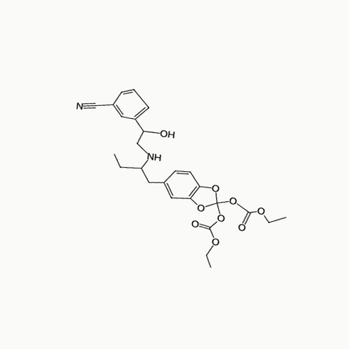 CCOC(=O)OC1(OC(=O)OCC)Oc2ccc(CC(CC)NCC(O)c3cccc(C#N)c3)cc2O1